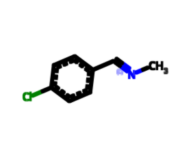 C/N=C/c1ccc(Cl)cc1